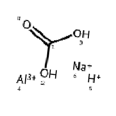 O=C(O)O.[Al+3].[H+].[Na+]